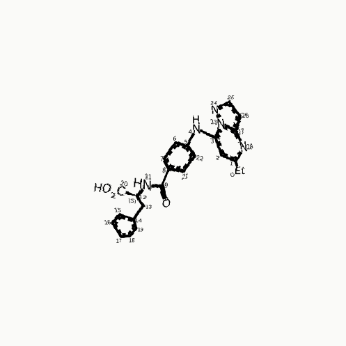 CCc1cc(Nc2ccc(C(=O)N[C@@H](Cc3ccccc3)C(=O)O)cc2)n2nccc2n1